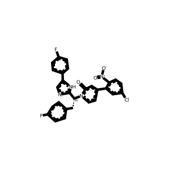 O=c1cc(-c2cc(Cl)ccc2[N+](=O)[O-])ccn1[C@H](Cc1ccc(F)cc1)c1ncc(-c2ccc(F)cc2)[nH]1